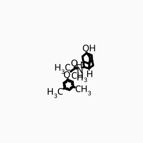 Cc1cc(C)cc(OC(C)(C)C(=O)NC2[C@@H]3CC4C[C@H]2CC(O)(C4)C3)c1